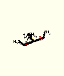 CCCCCC/C=C\COC(=O)CCCCCCCC(CCCCCCCC(=O)OC/C=C\CCCCCC)CSSCC(C)CC(C)CN(C)C